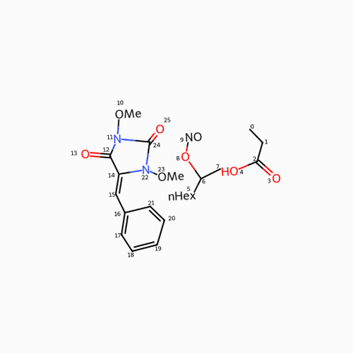 CCC(=O)O.CCCCCCC(C)ON=O.CON1C(=O)C(=Cc2ccccc2)N(OC)C1=O